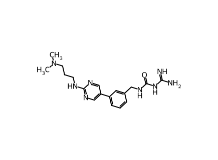 CN(C)CCCNc1ncc(-c2cccc(CNC(=O)NC(=N)N)c2)cn1